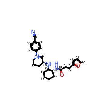 N#Cc1ccc(N2CCC[C@H](N[C@@H]3CCCC[C@H]3NC(=O)CCc3ccco3)C2)cc1